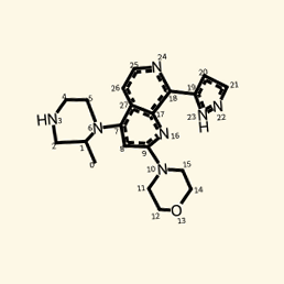 CC1CNCCN1c1cc(N2CCOCC2)nc2c(-c3ccn[nH]3)nccc12